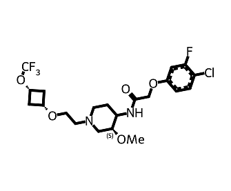 CO[C@H]1CN(CCO[C@H]2C[C@@H](OC(F)(F)F)C2)CCC1NC(=O)COc1ccc(Cl)c(F)c1